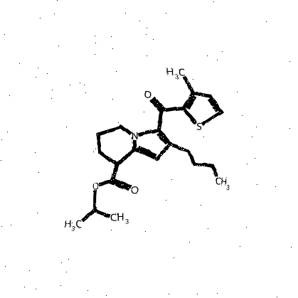 CCCCc1cc2n(c1C(=O)c1sccc1C)CCCC2C(=O)OC(C)C